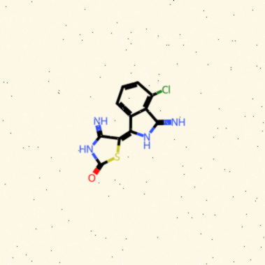 N=C1NC(=O)SC1=C1NC(=N)c2c(Cl)cccc21